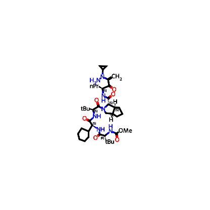 C=C(C(=O)[C@H](CCC)NC(=O)[C@@H]1[C@H]2CCC[C@H]2CN1C(=O)[C@@H](NC(=O)[C@@H](NC(=O)[C@H](NC(=O)OC)C(C)(C)C)C1CCCCC1)C(C)(C)C)N(N)C1CC1